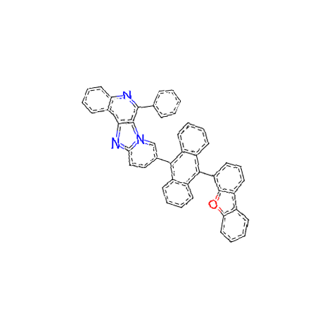 c1ccc(-c2nc3ccccc3c3nc4ccc(-c5c6ccccc6c(-c6cccc7c6oc6ccccc67)c6ccccc56)cn4c23)cc1